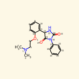 CN(C)CCOc1ccccc1C1NC(=O)N(c2ccccc2)C1=O